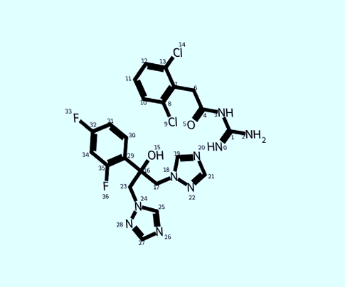 N=C(N)NC(=O)Cc1c(Cl)cccc1Cl.OC(Cn1cncn1)(Cn1cncn1)c1ccc(F)cc1F